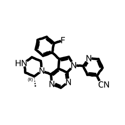 C[C@@H]1CNCCN1c1ncnc2c1c(-c1ccccc1F)cn2-c1cc(C#N)ccn1